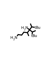 CC(CCCN)C(N)(C(C)C(C)(C)C)C(C)C(C)(C)C